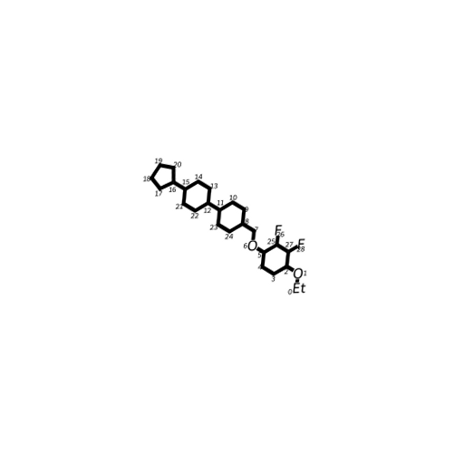 CCOC1CCC(OCC2CCC(C3CCC(C4CCCC4)CC3)CC2)C(F)C1F